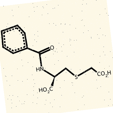 O=C(O)CSC[C@H](NC(=O)c1ccccc1)C(=O)O